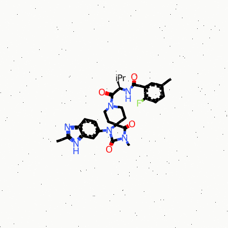 Cc1ccc(F)c(C(=O)N[C@@H](C(=O)N2CCC3(CC2)C(=O)N(C)C(=O)N3c2ccc3nc(C)[nH]c3c2)C(C)C)c1